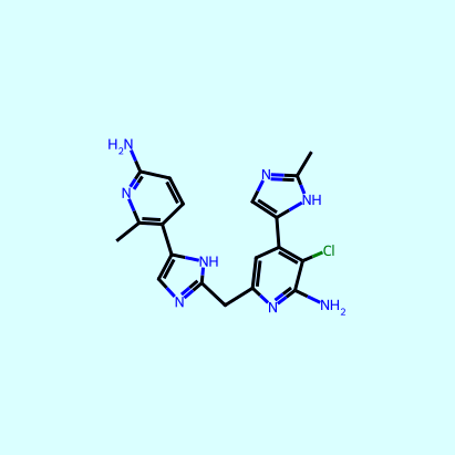 Cc1ncc(-c2cc(Cc3ncc(-c4ccc(N)nc4C)[nH]3)nc(N)c2Cl)[nH]1